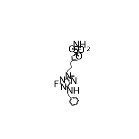 NS(=O)(=O)c1cc(CCCn2cnc3c(NCc4ccccc4)nc(F)nc32)co1